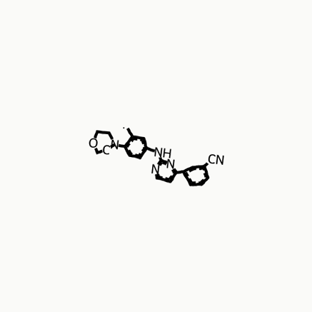 [CH2]c1cc(Nc2nccc(-c3cccc(C#N)c3)n2)ccc1N1CCOCC1